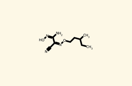 CCC(C)CCO/N=C(C#N)\C(N)=N/O